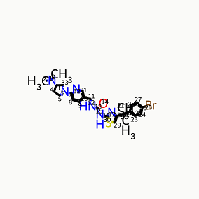 CN(C)C1CCN(c2ccc(CNC(=O)Nc3nc(C(C)(C)c4ccc(Br)cc4)cs3)cn2)C1